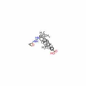 CC(C)[C@@H]1CC[C@]2(NCCNC[C@H]3OCC4CC43)CC[C@]3(C)[C@H](CC[C@@H]4[C@@]5(C)CC=C(c6ccc(C(=O)O)cc6)C(C)(C)[C@@H]5CC[C@]43C)[C@@H]12